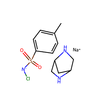 C1NC2CNC1C2.Cc1ccc(S(=O)(=O)[N-]Cl)cc1.[Na+]